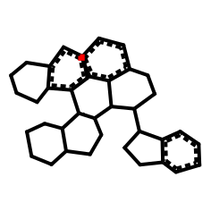 c1ccc2c(c1)CCC2C1CCc2ccccc2C1C1CCC2CCCCC2[C]1c1cccc2c1CCCC2